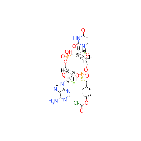 Nc1ncnc2c1ncn2[C@@H]1O[C@@H]2COP(=O)(O)C[C@@H]3[C@H](F)[C@@H](COP(=O)(SCc4ccc(OC(=O)Cl)cc4)O[C@H]2[C@H]1F)O[C@H]3n1ccc(=O)[nH]c1=O